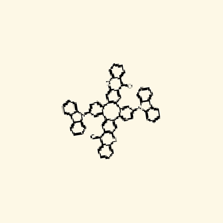 O=c1c2ccccc2oc2cc3c(cc12)-c1cc(-n2c4ccccc4c4ccccc42)ccc1-c1cc2oc4ccccc4c(=O)c2cc1-c1cc(-n2c4ccccc4c4ccccc42)ccc1-3